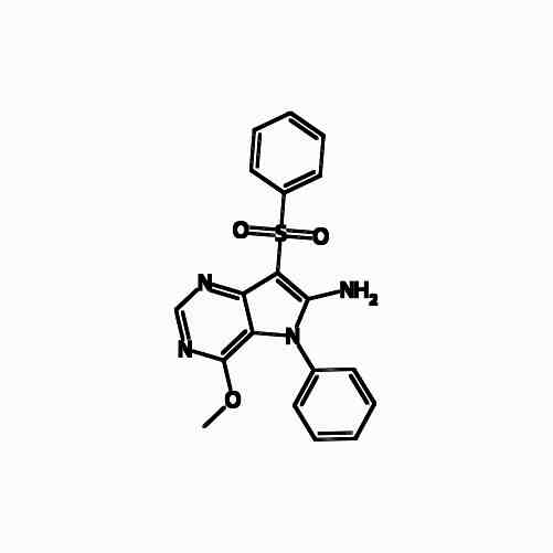 COc1ncnc2c(S(=O)(=O)c3ccccc3)c(N)n(-c3ccccc3)c12